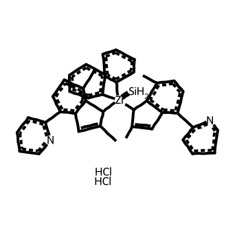 CC1=Cc2c(-c3ccccn3)ccc(C)c2[CH]1[Zr](=[SiH2])([c]1ccccc1)([c]1ccccc1)[CH]1C(C)=Cc2c(-c3ccccn3)ccc(C)c21.Cl.Cl